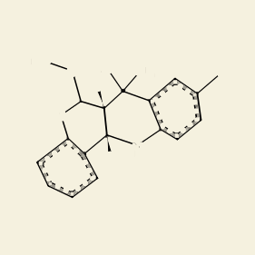 COC1Sc2ccccc2[C@H]2Nc3ccc(F)cc3C(C)(C)[C@@H]12